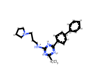 ClC(Cl)(Cl)c1nc(NCCCN2CCCC2)nc(-c2ccc(-c3ccccc3)cc2)n1